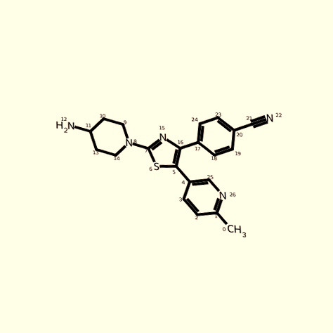 Cc1ccc(-c2sc(N3CCC(N)CC3)nc2-c2ccc(C#N)cc2)cn1